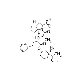 CC(C)[C@@]1(C)CCCC(OC(=O)C(CCc2ccccc2)N[C@@H](C)C(=O)N2[C@H](C(=O)O)C[C@@H]3CCC[C@@H]32)C1